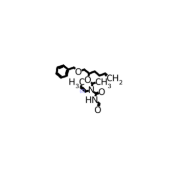 C=CCCC(COCc1ccccc1)OC(C)N(/C=C\C)C(=O)NC=O